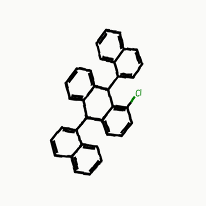 Clc1cccc2c1C(c1cccc3ccccc13)c1ccccc1C2c1cccc2ccccc12